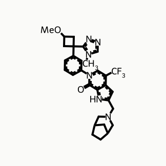 COC1CC(c2cccc(-n3cc(C(F)(F)F)c4cc(CN5CC6CCC(C6)C5)[nH]c4c3=O)c2)(c2nncn2C)C1